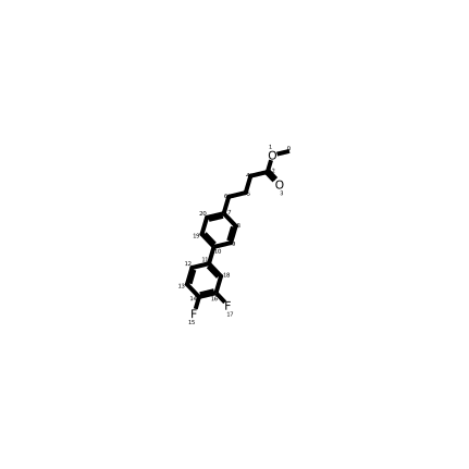 COC(=O)CCCc1ccc(-c2ccc(F)c(F)c2)cc1